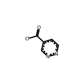 O=C(Cl)c1ccnnc1